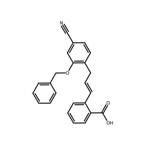 N#Cc1ccc(CC=Cc2ccccc2C(=O)O)c(OCc2ccccc2)c1